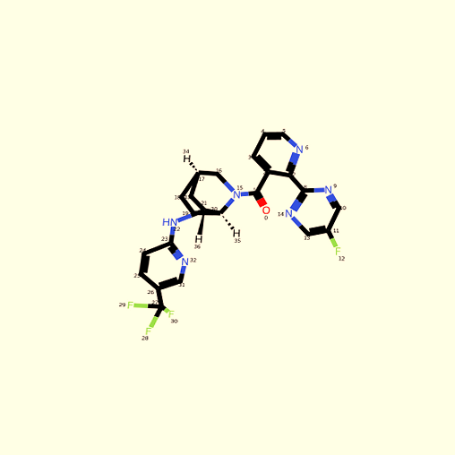 O=C(c1cccnc1-c1ncc(F)cn1)N1C[C@@H]2CC[C@H]1[C@H](Nc1ccc(C(F)(F)F)cn1)C2